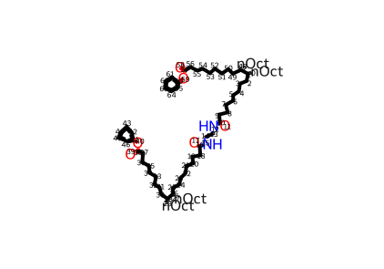 CCCCCCCCC(CCCCCCCCC(=O)NCCNC(=O)CCCCCCCCC(CCCCCCCC)C(CCCCCCCC)CCCCCCCCC(=O)Oc1ccccc1)C(CCCCCCCC)CCCCCCCCC(=O)Oc1ccccc1